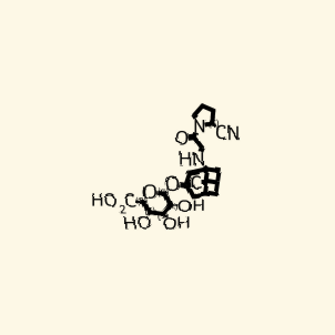 N#C[C@@H]1CCCN1C(=O)CNC12CC3CC4CC(O[C@@H]5O[C@H](C(=O)O)[C@@H](O)[C@H](O)[C@H]5O)(C1)CC432